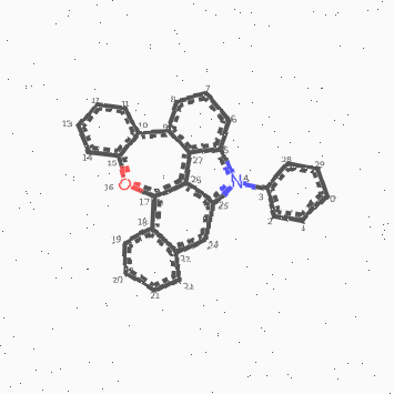 c1ccc(-n2c3cccc4c5ccccc5oc5c6ccccc6cc2c5c43)cc1